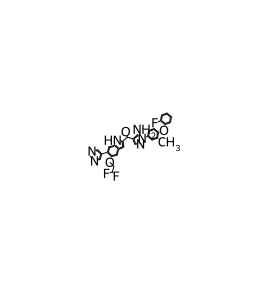 Cc1cc(-n2ncc(C(=O)c3cc4cc(OCC(F)F)c(-c5cncnc5)cc4[nH]3)c2N)ccc1Oc1ccccc1F